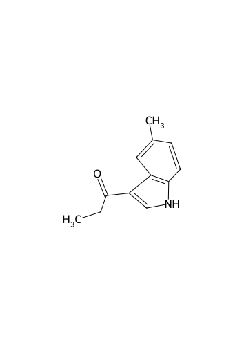 CCC(=O)c1c[nH]c2ccc(C)cc12